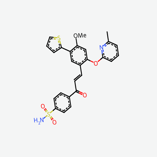 COc1cc(Oc2cccc(C)n2)c(/C=C/C(=O)c2ccc(S(N)(=O)=O)cc2)cc1-c1cccs1